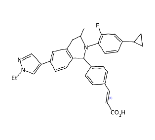 CCn1cc(-c2ccc3c(c2)CC(C)N(c2ccc(C4CC4)cc2F)C3c2ccc(/C=C/C(=O)O)cc2)cn1